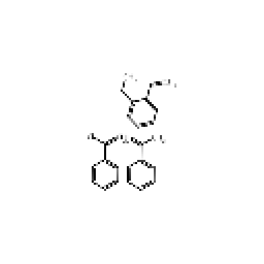 C=C(C)c1ccccc1.C=C(Cl)c1ccccc1.C=Cc1ccccc1CC